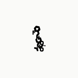 CC(C)N1CC2(CCN(CCc3ccccc3F)CC2)O[C@H](C)C1=O